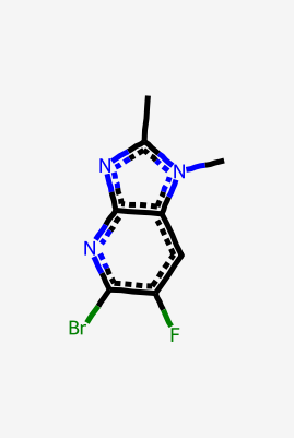 Cc1nc2nc(Br)c(F)cc2n1C